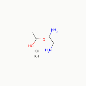 CC(=O)O.NCCN.[KH].[KH]